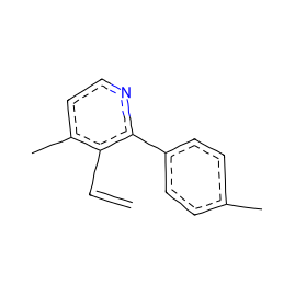 C=Cc1c(C)ccnc1-c1ccc(C)cc1